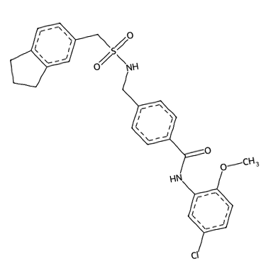 COc1ccc(Cl)cc1NC(=O)c1ccc(CNS(=O)(=O)Cc2ccc3c(c2)CCC3)cc1